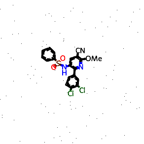 COc1nc(-c2ccc(Cl)c(Cl)c2)c(NS(=O)(=O)c2ccccc2)cc1C#N